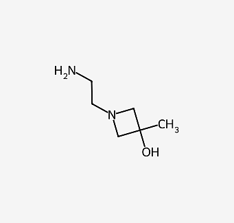 CC1(O)CN(CCN)C1